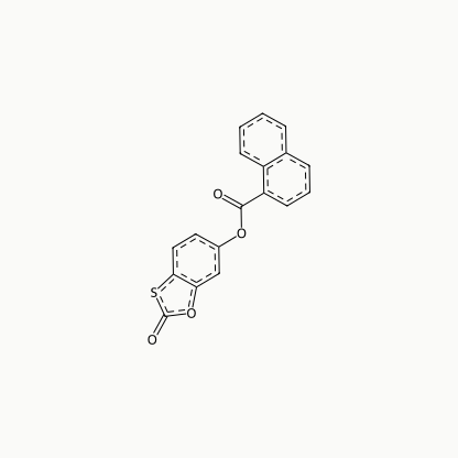 O=C(Oc1ccc2sc(=O)oc2c1)c1cccc2ccccc12